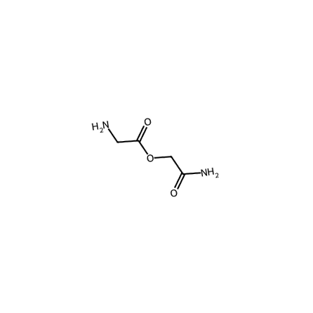 NCC(=O)OCC(N)=O